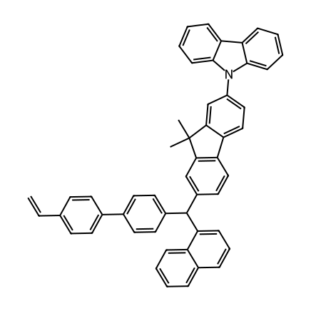 C=Cc1ccc(-c2ccc(C(c3ccc4c(c3)C(C)(C)c3cc(-n5c6ccccc6c6ccccc65)ccc3-4)c3cccc4ccccc34)cc2)cc1